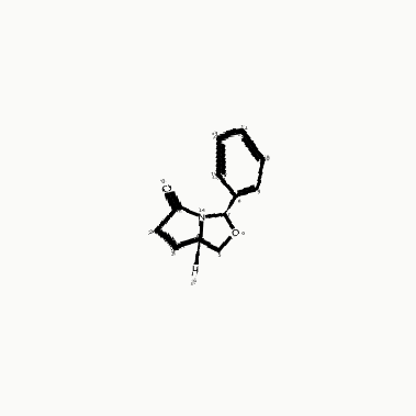 O=C1CC[C@H]2CO[C@H](c3ccccc3)N12